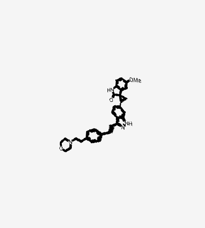 COc1ccc2c(c1)C1(C[C@H]1c1ccc3c(/C=C/c4ccc(CCN5CCOCC5)cc4)n[nH]c3c1)C(=O)N2